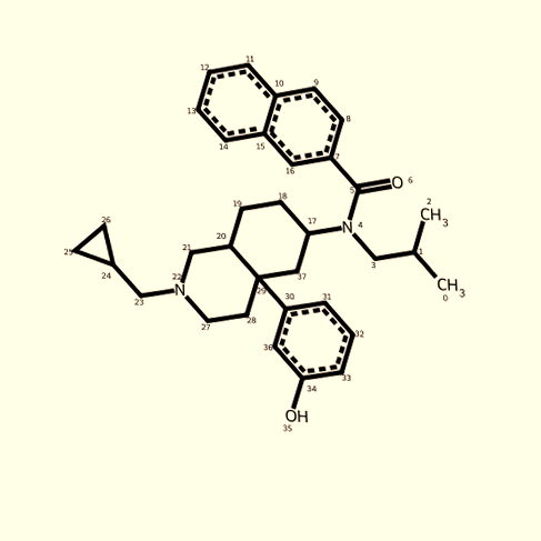 CC(C)CN(C(=O)c1ccc2ccccc2c1)C1CCC2CN(CC3CC3)CCC2(c2cccc(O)c2)C1